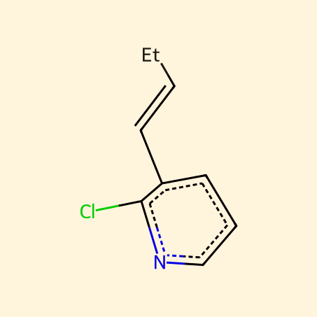 CCC=Cc1cccnc1Cl